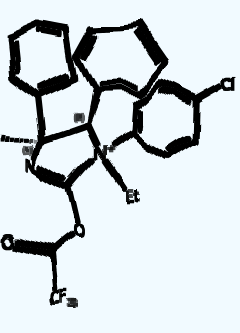 CC[N+]1(c2ccc(Cl)cc2)C(OC(=O)C(F)(F)F)=N[C@@](C)(c2ccccc2)[C@H]1c1ccccc1